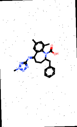 Cc1cc(C)c2c(c1)C(=Nc1nnn(C)n1)CCC(Cc1ccccc1)N2C(=O)O